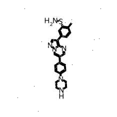 Cc1ccc(-c2cnn3cc(-c4ccc(N5CCNCC5)cc4)cnc23)cc1SN